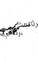 O=C(O)CCCCCCCCCCCC(CO)(CO)CO.O=C(O)CCCCCCCCCCCC(CO)(CO)CO.O=C(O)c1cccc(C(=O)O)c1